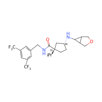 CC(C)[C@]1(C(=O)NCc2cc(C(F)(F)F)cc(C(F)(F)F)c2)CC[C@@H](NC2C3COCC32)C1